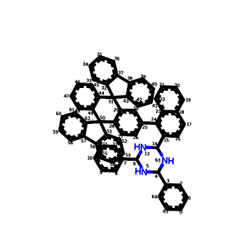 c1ccc(C2NC(c3ccccc3)NC(c3ccc4ccccc4c3-c3ccc4c(c3)C3(c5ccccc5-c5ccccc53)c3ccccc3C43c4ccccc4-c4ccccc43)N2)cc1